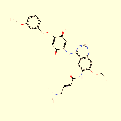 CCOc1cc2ncnc(NC3=CC(=O)C(OCc4cccc(OC)c4)=CC3=O)c2cc1NC(=O)/C=C/CN(C)C